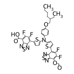 CCCCC(CC)COc1ccc(N(c2ccc(-c3c(F)c(F)c(OC=O)c4nsnc34)s2)c2ccc(-c3c(F)c(F)c(C(=O)O)c4nsnc34)s2)cc1